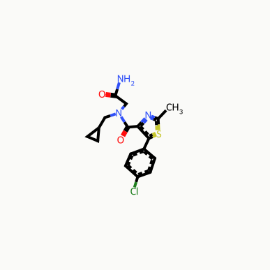 Cc1nc(C(=O)N(CC(N)=O)CC2CC2)c(-c2ccc(Cl)cc2)s1